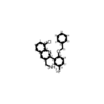 NCc1cc2cccc(Cl)c2nc1-c1cc(F)ccc1OCc1ccccc1